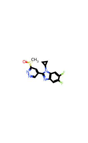 C[S+]([O-])c1cc(-c2nc3cc(F)c(F)cc3n2C2CC2)cnn1